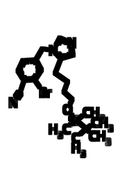 CC(C)(C)[Si](C)(C)OCCCCc1cncn1Cc1ccc(C#N)c(Br)c1